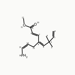 C=CC(C)(C)/C=C(\C=C\C(=O)OC)C/C=C\P